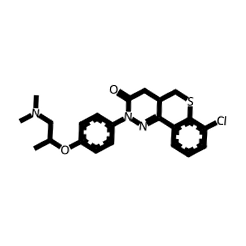 CC(CN(C)C)Oc1ccc(N2N=C3c4cccc(Cl)c4SCC3CC2=O)cc1